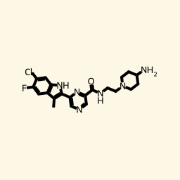 Cc1c(-c2cncc(C(=O)NCCN3CCC(N)CC3)n2)[nH]c2cc(Cl)c(F)cc12